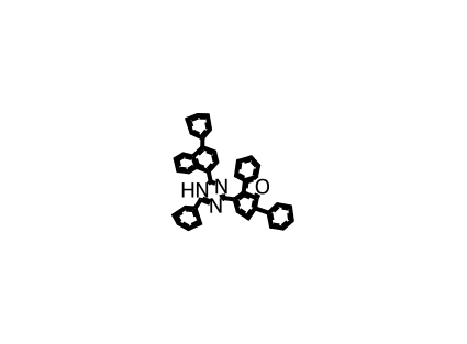 c1ccc(C2=NC(c3ccc(-c4ccccc4)c4oc5ccccc5c34)=NC(c3ccc(-c4ccccc4)c4ccccc34)N2)cc1